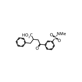 CNS(=O)(=O)c1cccc(C(=O)CC(Cc2ccccc2)C(=O)O)c1